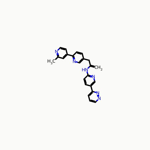 C=C(Cc1ccc(-c2ccnc(C)c2)nc1)Nc1ccc(-c2cccnn2)cn1